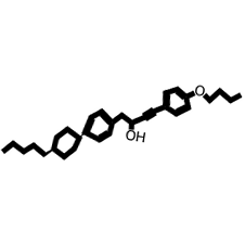 CCCCC[C@H]1CC[C@H](c2ccc(CC(O)C#Cc3ccc(OCCCC)cc3)cc2)CC1